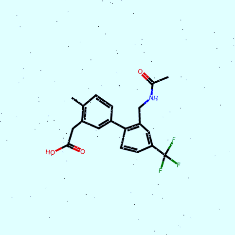 CC(=O)NCc1cc(C(F)(F)F)ccc1-c1ccc(C)c(CC(=O)O)c1